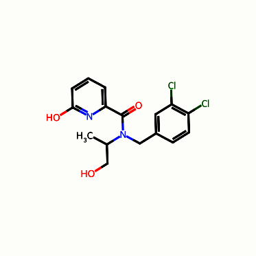 CC(CO)N(Cc1ccc(Cl)c(Cl)c1)C(=O)c1cccc(O)n1